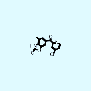 Cc1cc(C(=O)c2cc(Cl)ccn2)cc2oc(=O)[nH]c12